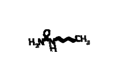 CC=CC=CNC(N)=O